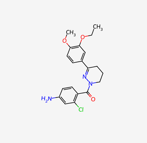 CCOc1cc(C2=NN(C(=O)c3ccc(N)cc3Cl)CCC2)ccc1OC